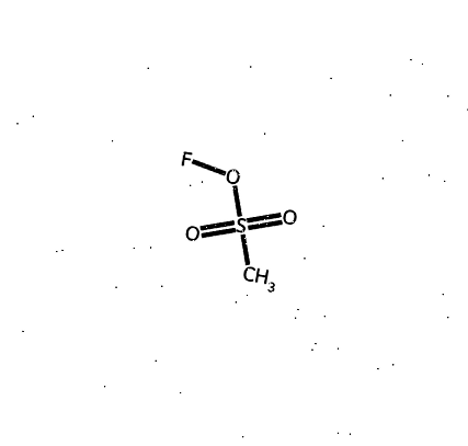 CS(=O)(=O)OF